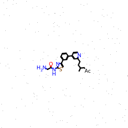 CC(=O)CC(C)CCc1cc(-c2cccc(-c3csc(NC(=O)CN)n3)c2)ccn1